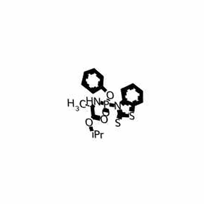 CC(C)OC(=O)[C@H](C)NP(=O)(Oc1ccccc1)n1c(=S)sc2ccccc21